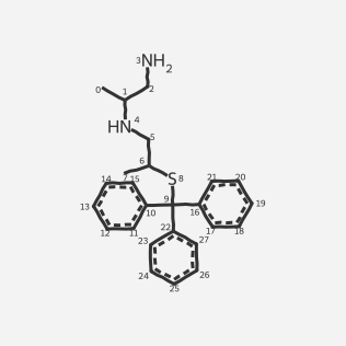 CC(CN)NCC(C)SC(c1ccccc1)(c1ccccc1)c1ccccc1